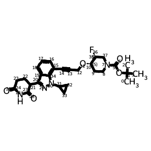 CC(C)(C)OC(=O)N1CC[C@H](OCC#Cc2cccc3c(C4CCC(=O)NC4=O)nn(C4CC4)c23)[C@H](F)C1